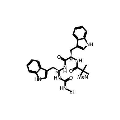 CCNC(=O)N[C@@H](Cc1c[nH]c2ccccc12)NC(=O)[C@@H](Cc1c[nH]c2ccccc12)NC(=O)C(C)(C)NC